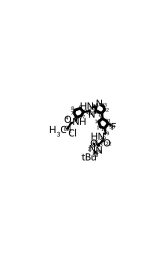 C[C@@H](Cl)C(=O)Nc1cccc(-c2nc3c(-c4ccc(CNC(=O)c5nc(C(C)(C)C)no5)c(F)c4)ccnc3[nH]2)c1